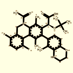 Cc1c(-c2c(C)c3c(c(C)c2[C@H](OC(C)(C)C)C(=O)O)N(C(N)=O)Cc2c(F)ccc(F)c2-3)ccc2c1NCCO2